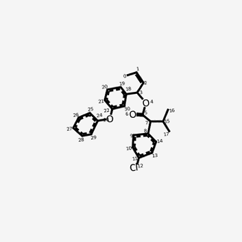 C/C=C\C(OC(=O)C(c1ccc(Cl)cc1)C(C)C)c1cccc(Oc2ccccc2)c1